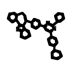 C1=C(c2ccc(-c3cc(-c4ccc(-c5ccccc5)cc4)nc(-c4ccccc4)n3)cc2)c2c(sc3ccccc23)-c2ccccc2C1